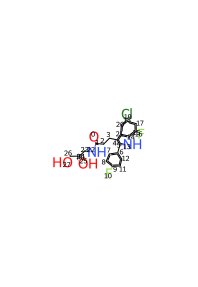 O=C(CCc1c(-c2ccc(F)cc2)[nH]c2c(F)cc(Cl)cc12)NC[C@@H](O)CO